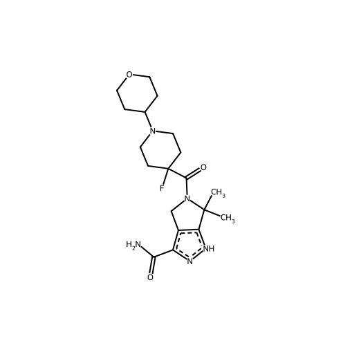 CC1(C)c2[nH]nc(C(N)=O)c2CN1C(=O)C1(F)CCN(C2CCOCC2)CC1